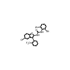 CC(C)c1cccc(C(C)C)c1NC(=O)Nc1oc2ccc(Cl)cc2c1-c1ccccc1C(F)(F)F